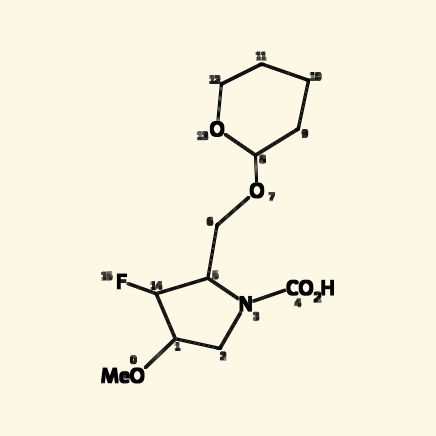 COC1CN(C(=O)O)C(COC2CCCCO2)C1F